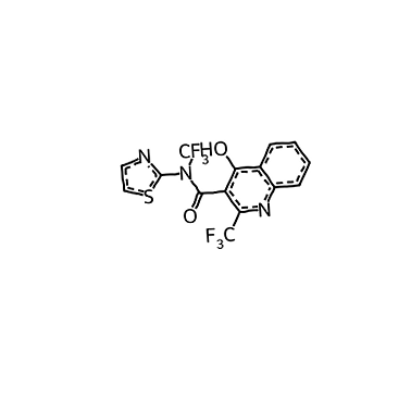 O=C(c1c(C(F)(F)F)nc2ccccc2c1O)N(c1nccs1)C(F)(F)F